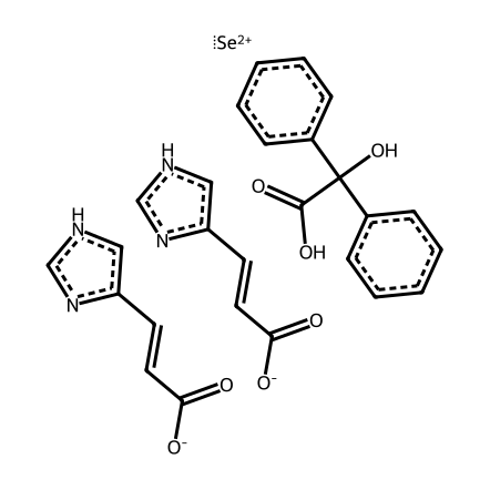 O=C(O)C(O)(c1ccccc1)c1ccccc1.O=C([O-])C=Cc1c[nH]cn1.O=C([O-])C=Cc1c[nH]cn1.[Se+2]